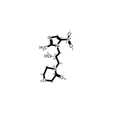 Cc1ncc([N+](=O)[O-])n1C[C@@H](O)CN1CCOCC1=O